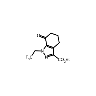 CCOC(=O)c1nn(CC(F)(F)F)c2c1CCCC2=O